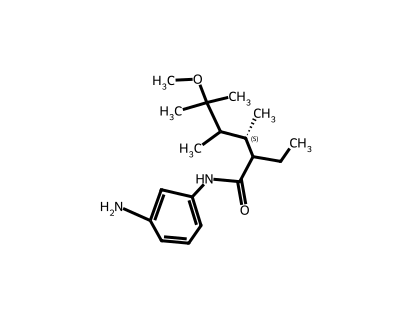 CCC(C(=O)Nc1cccc(N)c1)[C@@H](C)C(C)C(C)(C)OC